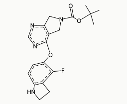 CC(C)(C)OC(=O)N1Cc2ncnc(Oc3ccc4c(c3F)CCN4)c2C1